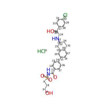 Cl.O=C(NS(=O)(=O)CCCO)c1ccc(-c2ccc3c(c2)C[C@@H](NC[C@H](O)c2ccc(Cl)cc2)CC3)cc1